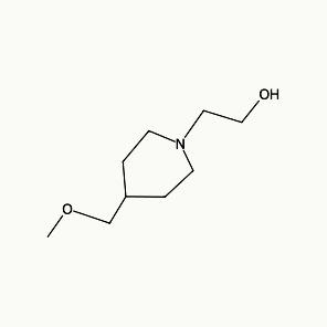 COCC1CCN(CCO)CC1